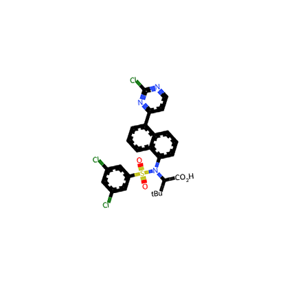 CC(C)(C)C(C(=O)O)N(c1cccc2c(-c3ccnc(Cl)n3)cccc12)S(=O)(=O)c1cc(Cl)cc(Cl)c1